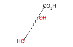 O=C(O)C=CC=CC=CC(O)CCCCCCCCCCCCCCCCO